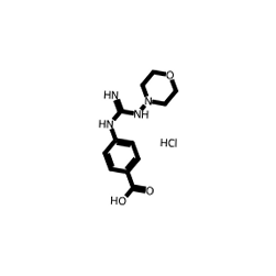 Cl.N=C(Nc1ccc(C(=O)O)cc1)NN1CCOCC1